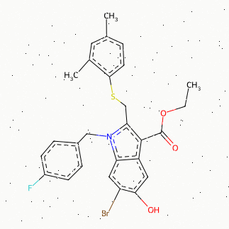 CCOC(=O)c1c(CSc2ccc(C)cc2C)n(Cc2ccc(F)cc2)c2cc(Br)c(O)cc12